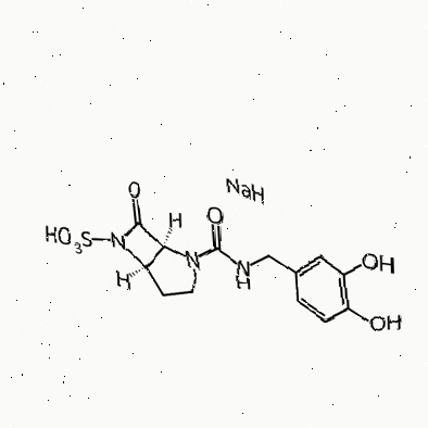 O=C(NCc1ccc(O)c(O)c1)N1CC[C@@H]2[C@H]1C(=O)N2S(=O)(=O)O.[NaH]